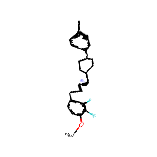 CCCCOc1ccc(CC/C=C/C2CCC(c3ccc(C)cc3)CC2)c(F)c1F